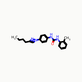 CCCCc1c2n(-c3ccc(NC(=O)Nc4ccccc4C)cc3)n1-2